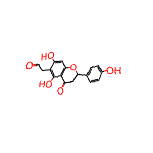 O=CCc1c(O)cc2c(c1O)C(=O)CC(c1ccc(O)cc1)O2